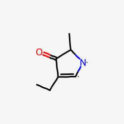 CCC1=[C][N]C(C)C1=O